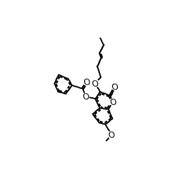 CCC=CCCOc1c(OC(=O)c2ccccc2)c2ccc(OC)cc2oc1=O